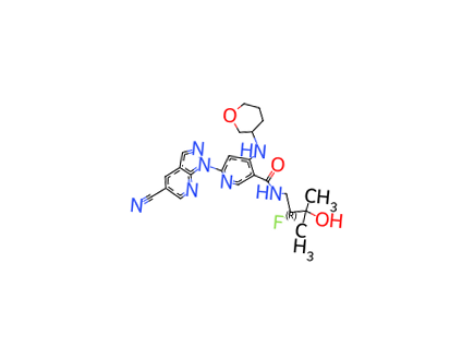 CC(C)(O)[C@H](F)CNC(=O)c1cnc(-n2ncc3cc(C#N)cnc32)cc1NC1CCCOC1